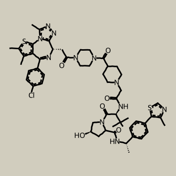 Cc1ncsc1-c1ccc([C@H](C)NC(=O)C2C[C@@H](O)CN2C(=O)[C@@H](NC(=O)CN2CCC(C(=O)N3CCN(C(=O)C[C@@H]4N=C(c5ccc(Cl)cc5)c5c(sc(C)c5C)-n5c(C)nnc54)CC3)CC2)C(C)(C)C)cc1